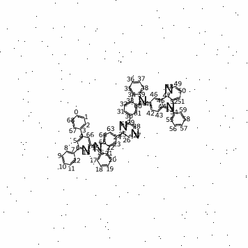 c1ccc(-c2cc(-c3ccccc3)nc(-n3c4ccccc4c4cc(-c5cncc(-c6ccc7c8ccccc8n(-c8ccc9c(c8)c8ncccc8n9-c8ccccc8)c7c6)n5)ccc43)c2)cc1